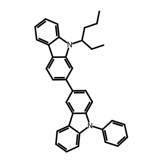 CCCC(CC)n1c2ccccc2c2ccc(-c3ccc4c(c3)c3ccccc3n4-c3ccccc3)cc21